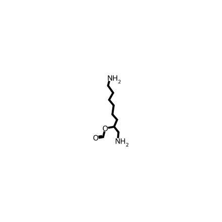 NCCCCCCC(CN)OC=O